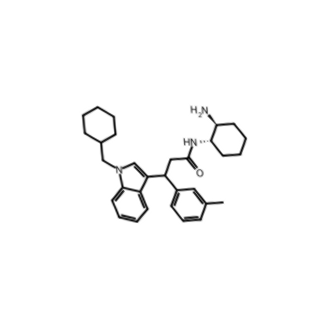 Cc1cccc(C(CC(=O)N[C@H]2CCCC[C@@H]2N)c2cn(CC3CCCCC3)c3ccccc23)c1